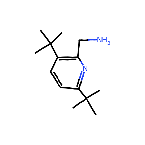 CC(C)(C)c1ccc(C(C)(C)C)c(CN)n1